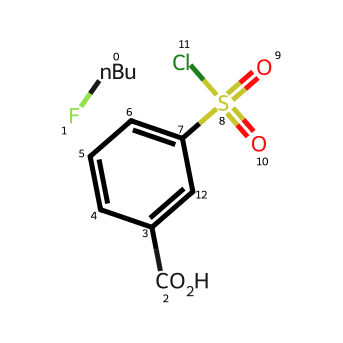 CCCCF.O=C(O)c1cccc(S(=O)(=O)Cl)c1